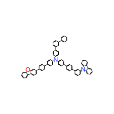 c1ccc(-c2cccc(-c3ccc(N(c4ccc(-c5ccc(-c6cccc(-n7c8ccccc8c8ccccc87)c6)cc5)cc4)c4ccc(-c5ccc(-c6ccc7c(c6)oc6ccccc67)cc5)cc4)cc3)c2)cc1